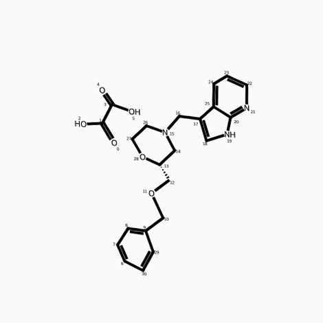 O=C(O)C(=O)O.c1ccc(COC[C@H]2CN(Cc3c[nH]c4ncccc34)CCO2)cc1